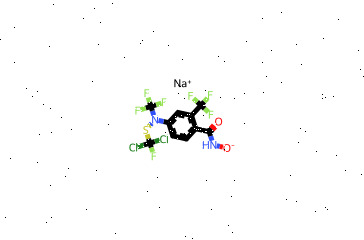 O=C(N[O-])c1ccc(N(SC(F)(Cl)Cl)C(F)(F)F)cc1C(F)(F)F.[Na+]